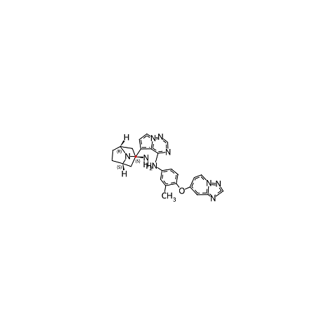 Cc1cc(Nc2ncnn3ccc(CN4[C@@H]5CC[C@H]4C[C@H](N)C5)c23)ccc1Oc1ccn2ncnc2c1